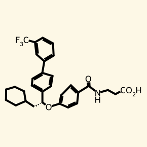 O=C(O)CCNC(=O)c1ccc(O[C@H](CC2CCCCC2)c2ccc(-c3cccc(C(F)(F)F)c3)cc2)cc1